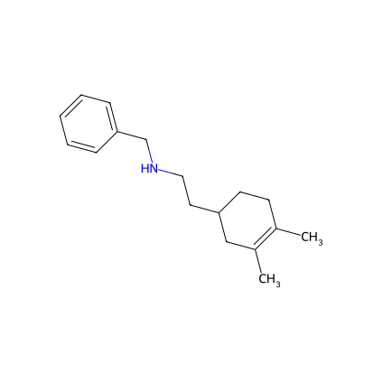 CC1=C(C)CC(CCNCc2ccccc2)CC1